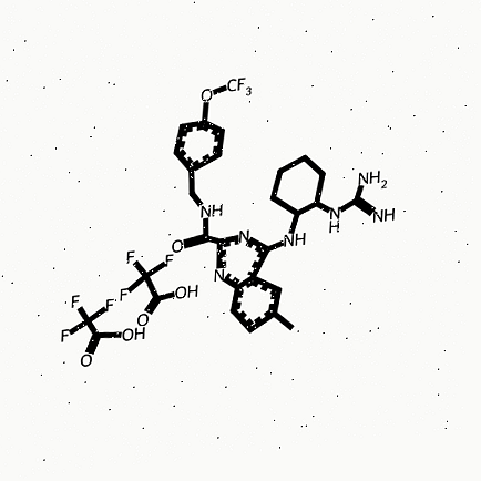 Cc1ccc2nc(C(=O)NCc3ccc(OC(F)(F)F)cc3)nc(NC3CCCCC3NC(=N)N)c2c1.O=C(O)C(F)(F)F.O=C(O)C(F)(F)F